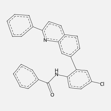 O=C(Nc1ccc(Cl)cc1-c1ccc2ccc(-c3ccccc3)nc2c1)c1ccccc1